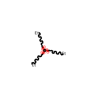 CC/C=C\C/C=C\C/C=C\C/C=C\C/C=C\C/C=C\CCC(=O)Oc1cc(OC(=O)CC/C=C\C/C=C\C/C=C\C/C=C\C/C=C\C/C=C\CC)cc(OC(=O)CC/C=C\C/C=C\C/C=C\C/C=C\C/C=C\C/C=C\CC)c1